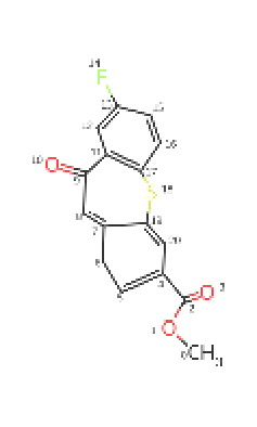 COC(=O)C1=CCC2=CC(=O)c3cc(F)ccc3SC2=C1